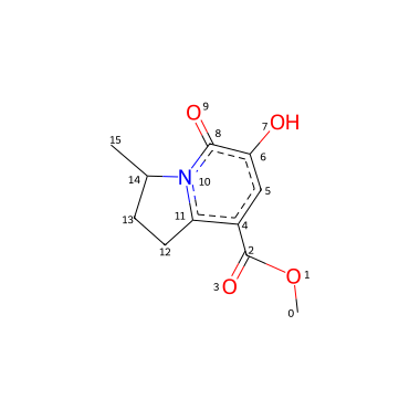 COC(=O)c1cc(O)c(=O)n2c1CCC2C